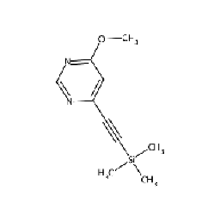 COc1cc(C#C[Si](C)(C)C)ncn1